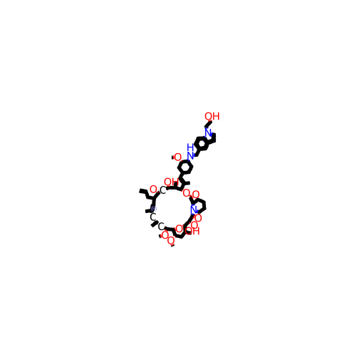 C=CCC1/C=C(\C)CC(C)CC(OC)C2OC(O)(C(=O)C(=O)N3CCCCC3C(=O)OC(C(C)=CC3CCC(NCc4ccc5c(ccn5CCO)c4)C(OC)C3)C(C)C(O)CC1=O)C(C)CC2OC